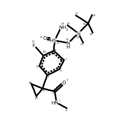 CNC(=O)C1(c2ccc([SH](N)(=O)N[Si](C)(C)C(C)(C)C)c(F)c2)CC1